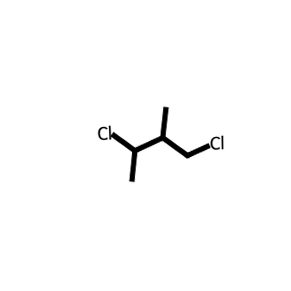 CC(Cl)C(C)CCl